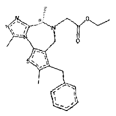 CCOC(=O)CN1Cc2c(sc(C)c2Cc2ccccc2)-n2c(C)nnc2[C@@H]1C